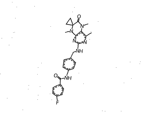 Cc1nc(NCc2ccc(NC(=O)c3ccc(F)cc3)cc2)nc2c1N(C)C(=O)C1(CC1)N2C